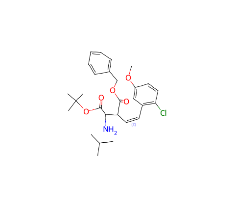 CC(C)C.COc1ccc(Cl)c(/C=C\C(C(=O)OCc2ccccc2)C(N)C(=O)OC(C)(C)C)c1